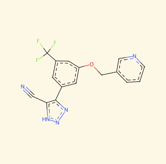 N#Cc1[nH]nnc1-c1cc(OCc2cccnc2)cc(C(F)(F)F)c1